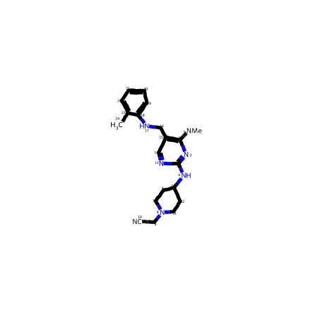 CNc1nc(NC2CCN(CC#N)CC2)ncc1CNc1ccccc1C